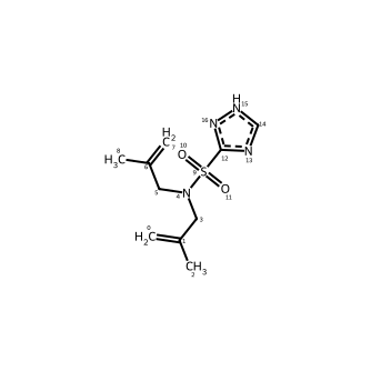 C=C(C)CN(CC(=C)C)S(=O)(=O)c1nc[nH]n1